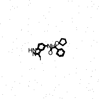 O=C(Nc1ccc2[nH]nc(I)c2c1)C(OC1CCCC1)c1ccccc1